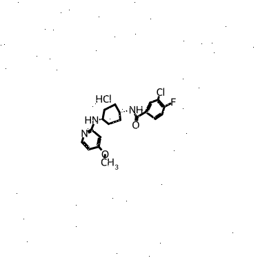 COc1ccnc(N[C@H]2CC[C@@H](NC(=O)c3ccc(F)c(Cl)c3)CC2)c1.Cl